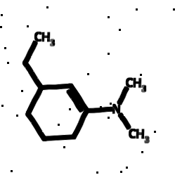 CCC1C=C(N(C)C)CCC1